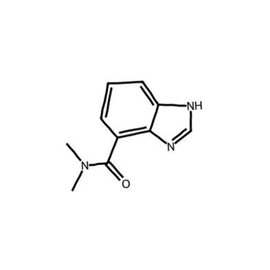 CN(C)C(=O)c1cccc2[nH]cnc12